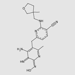 CC1=N/C(=N/O)C(=N)C(N)=C1Cc1ccc(C#N)c(NCC2(C)CCOC2)n1